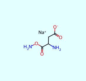 NOC(=O)C(N)CC(=O)[O-].[Na+]